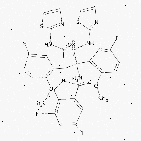 COc1ccc(F)cc1C(N)(C(=O)Nc1nccs1)C(C(=O)Nc1nccs1)(c1cc(F)ccc1OC)N1Cc2c(F)cc(I)cc2C1=O